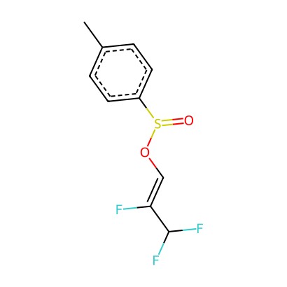 Cc1ccc(S(=O)O/C=C(\F)C(F)F)cc1